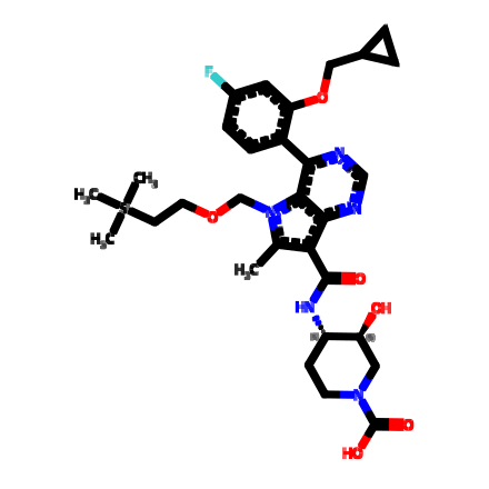 Cc1c(C(=O)N[C@H]2CCN(C(=O)O)C[C@@H]2O)c2ncnc(-c3ccc(F)cc3OCC3CC3)c2n1COCC[Si](C)(C)C